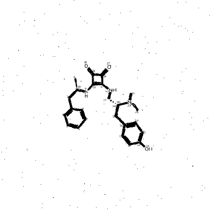 C[C@H](Cc1ccccc1)Nc1c(NC[C@@H](Cc2ccc(O)cc2)N(C)C)c(=O)c1=O